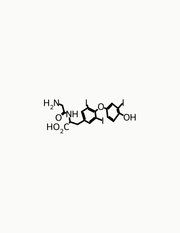 NCC(=O)NC(Cc1cc(I)c(Oc2ccc(O)c(I)c2)c(I)c1)C(=O)O